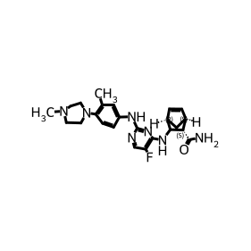 Cc1cc(Nc2ncc(F)c(NC3[C@@H](C(N)=O)[C@@H]4C=C[C@H]3C4)n2)ccc1N1CCN(C)CC1